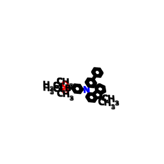 CC1(C)c2ccccc2-c2c(N(c3ccc(B4OC(C)(C)C(C)(C)O4)cc3)c3ccc(-c4ccccc4)cc3)cccc21